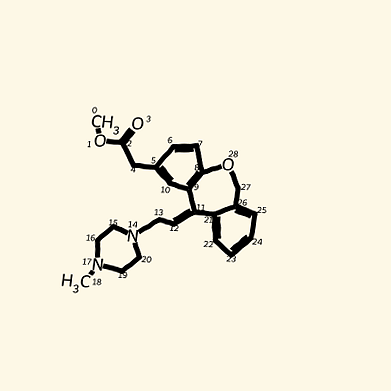 COC(=O)Cc1ccc2c(c1)C(=CCN1CCN(C)CC1)c1ccccc1CO2